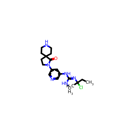 CCC(C)(Cl)/N=C(\NC)Nc1cncc(N2CCC3(CCNCC3)C2=O)c1